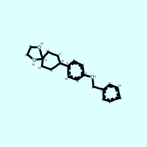 c1ccc(COc2ccc(C3CCC4(CC3)OCCO4)cc2)cc1